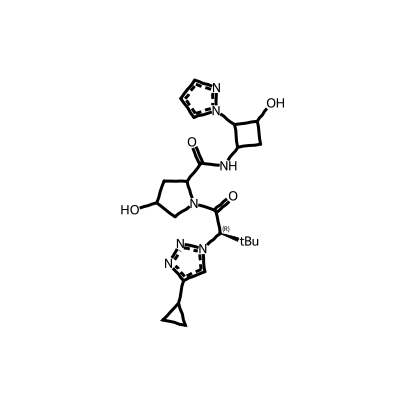 CC(C)(C)[C@H](C(=O)N1CC(O)CC1C(=O)NC1CC(O)C1n1cccn1)n1cc(C2CC2)nn1